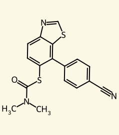 CN(C)C(=O)Sc1ccc2ncsc2c1-c1ccc(C#N)cc1